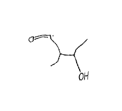 CC(O)C(C)[C]=O